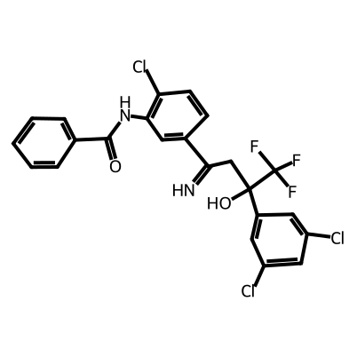 N=C(CC(O)(c1cc(Cl)cc(Cl)c1)C(F)(F)F)c1ccc(Cl)c(NC(=O)c2ccccc2)c1